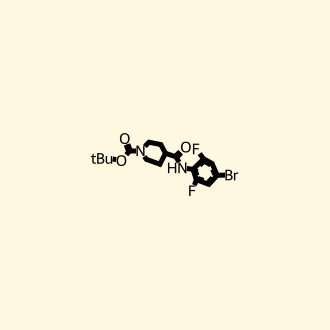 CC(C)(C)OC(=O)N1CCC(C(=O)Nc2c(F)cc(Br)cc2F)CC1